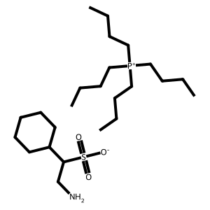 CCCC[P+](CCCC)(CCCC)CCCC.NCC(C1CCCCC1)S(=O)(=O)[O-]